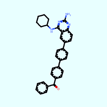 Nc1nc(NC2CCCCC2)c2cc(-c3ccc(-c4ccc(C(=O)c5ccccc5)cc4)cc3)ccc2n1